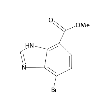 COC(=O)c1ccc(Br)c2nc[nH]c12